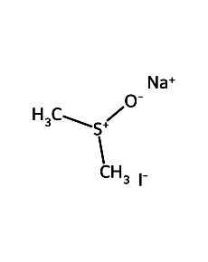 C[S+](C)[O-].[I-].[Na+]